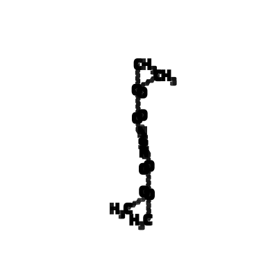 CCCCCCCCC(CCCCCCCC)OC(=O)CCCCCCCC(=O)OCCC1CCN(CCSSCCN2CCC(CCOC(=O)CCCCCCCC(=O)OC(CCCCCCCC)CCCCCCCC)CC2)CC1